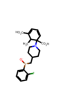 CC1C(C(=O)O)=CC=CC1(C(=O)O)N1CCC(C[S+]([O-])c2ccccc2F)CC1